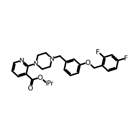 CC(C)OC(=O)c1cccnc1N1CCN(Cc2cccc(OCc3ccc(F)cc3F)c2)CC1